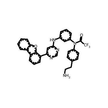 NCCc1ccc(N(C(=O)C(F)(F)F)c2cccc(Nc3cc(-c4cccc5c4oc4ccccc45)ncn3)c2)cc1